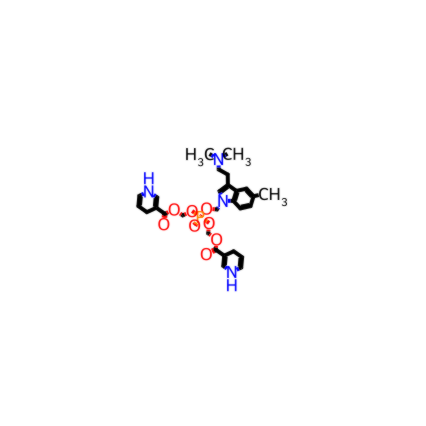 Cc1ccc2c(c1)c(CCN(C)C)cn2COP(=O)(OCOC(=O)C1=CNC=CC1)OCOC(=O)C1=CNC=CC1